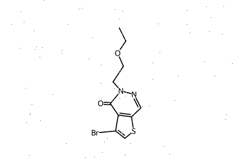 CCOCCn1ncc2scc(Br)c2c1=O